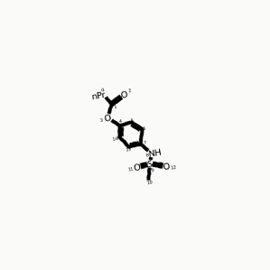 CCCC(=O)Oc1ccc(NS(C)(=O)=O)cc1